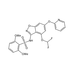 COc1cccc(OC)c1S(=O)(=O)Nc1noc2cc(Oc3ccccn3)cc(OC(F)F)c12